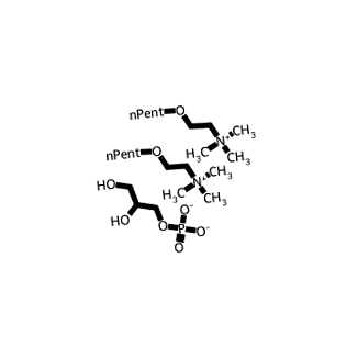 CCCCCOCC[N+](C)(C)C.CCCCCOCC[N+](C)(C)C.O=P([O-])([O-])OCC(O)CO